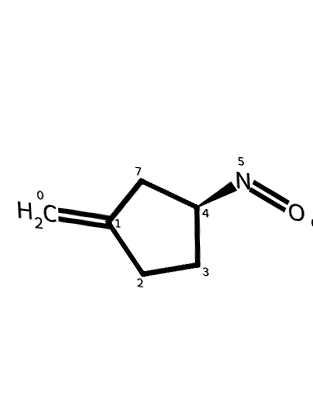 C=C1CC[C@H](N=O)C1